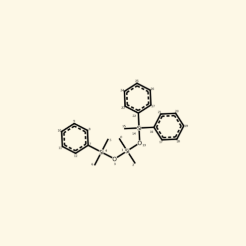 C[Si](C)(O[Si](C)(C)c1ccccc1)O[Si](C)(c1ccccc1)c1ccccc1